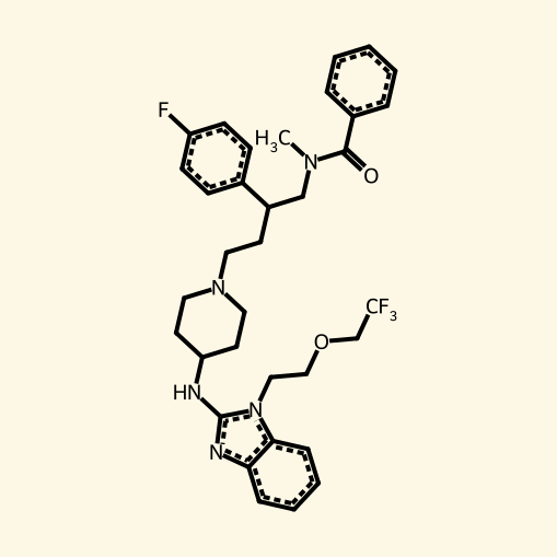 CN(CC(CCN1CCC(Nc2nc3ccccc3n2CCOCC(F)(F)F)CC1)c1ccc(F)cc1)C(=O)c1ccccc1